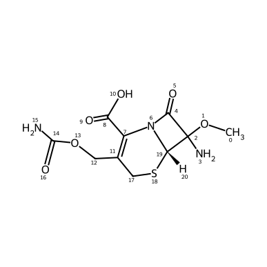 COC1(N)C(=O)N2C(C(=O)O)=C(COC(N)=O)CS[C@H]21